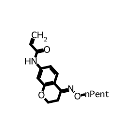 C=CC(=O)Nc1ccc2c(c1)OCCC2=NOCCCCC